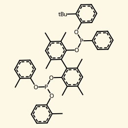 Cc1ccccc1OP(Oc1ccccc1C)Oc1c(C)c(C)cc(C)c1-c1c(C)cc(C)c(C)c1OP(Oc1ccccc1C(C)(C)C)c1ccccc1